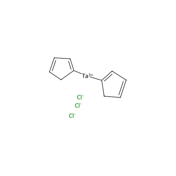 C1=CC[C]([Ta+3][C]2=CC=CC2)=C1.[Cl-].[Cl-].[Cl-]